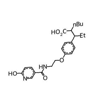 CCCCC(C(=O)O)C(CC)c1ccc(OCCNC(=O)c2ccc(O)nc2)cc1